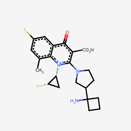 Cc1cc(F)cc2c(=O)c(C(=O)O)c(N3CCC(C4(N)CCC4)C3)n([C@@H]3C[C@@H]3F)c12